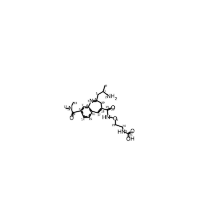 CC(N)CC1=Nc2cc(C(=O)N(C)C)ccc2C=C(C(=O)NOCCNC(=O)O)C1